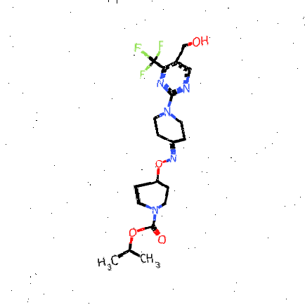 CC(C)OC(=O)N1CCC(ON=C2CCN(c3ncc(CO)c(C(F)(F)F)n3)CC2)CC1